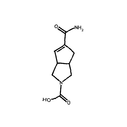 NC(=O)C1=CC2CN(C(=O)O)CC2C1